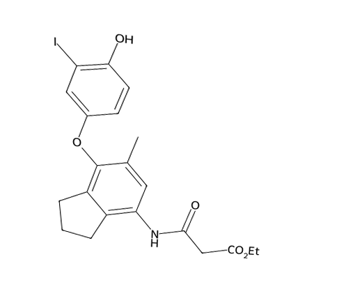 CCOC(=O)CC(=O)Nc1cc(C)c(Oc2ccc(O)c(I)c2)c2c1CCC2